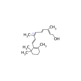 CC(C=C/C=C(/C)C=CC1=C(C)CCCC1(C)C)=CCO